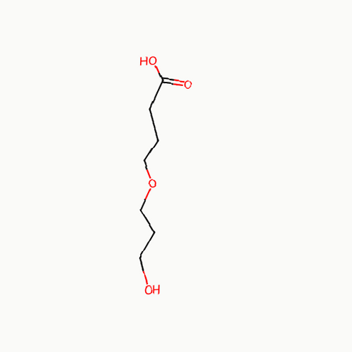 O=C(O)CCCOCCCO